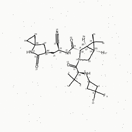 CC(C)(C)[C@H](NC1CC(F)(F)C1)C(=O)N1C[C@H]2[C@@H]([C@H]1C(=O)N[C@H](C#N)C[C@@H]1CC3(CC3)NC1=O)C2(C)C